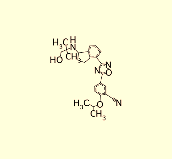 CC(C)Oc1ccc(-c2nc(-c3cccc4c3CCC4NC(C)(C)CO)no2)cc1C#N